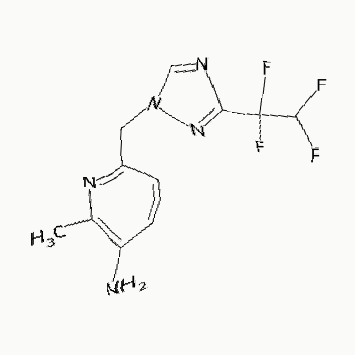 Cc1nc(Cn2cnc(C(F)(F)C(F)F)n2)ccc1N